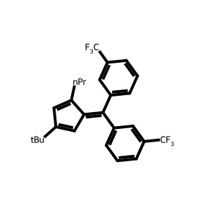 CCCC1=CC(C(C)(C)C)=CC1=C(c1cccc(C(F)(F)F)c1)c1cccc(C(F)(F)F)c1